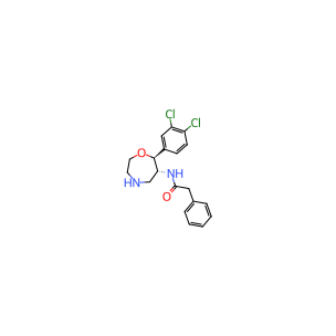 O=C(Cc1ccccc1)N[C@@H]1CNCCO[C@H]1c1ccc(Cl)c(Cl)c1